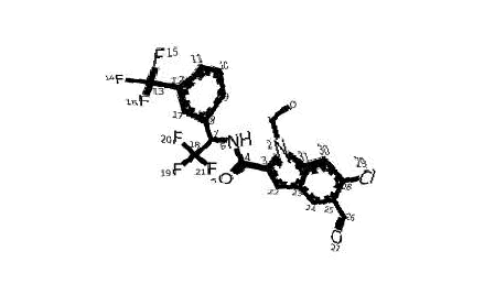 CCn1c(C(=O)NC(c2cccc(C(F)(F)F)c2)C(F)(F)F)cc2cc(C=O)c(Cl)cc21